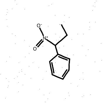 [CH2]CC(c1ccccc1)[N+](=O)[O-]